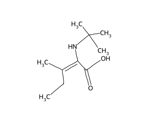 CC/C(C)=C(/NC(C)(C)C)C(=O)O